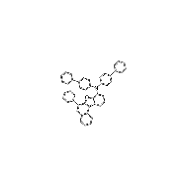 c1ccc(-c2ccc(N(c3ccc(-c4ccccc4)cc3)c3cccc4c3oc3c(-c5ccccc5)cc5ccccc5c34)cc2)cc1